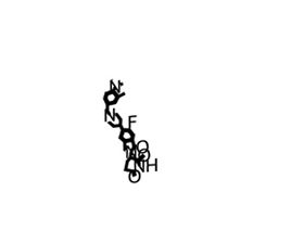 Cc1cc(CN2CCC(c3cc4c(cc3F)C(=O)N(C3CCC(=O)NC3=O)C4)CC2)ccc1N(C)C